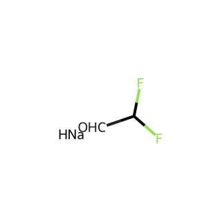 O=CC(F)F.[NaH]